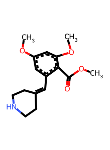 COC(=O)c1c(C=C2CCNCC2)cc(OC)cc1OC